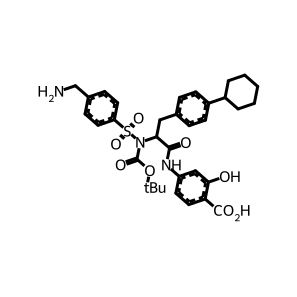 CC(C)(C)OC(=O)N(C(Cc1ccc(C2CCCCC2)cc1)C(=O)Nc1ccc(C(=O)O)c(O)c1)S(=O)(=O)c1ccc(CN)cc1